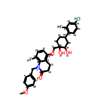 COc1ccc(CN2C(=O)CCc3c(OCC4(O)CCC(c5ccc(Cl)cc5F)CC4O)ccc(F)c32)cc1